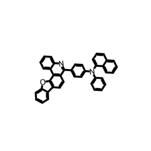 c1ccc(N(c2ccc(-c3nc4ccccc4c4c3ccc3c5ccccc5oc34)cc2)c2cccc3ccccc23)cc1